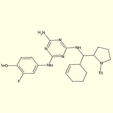 CCN1CCCC1C(Nc1nc(N)nc(Nc2ccc(OC)c(F)c2)n1)C1C=CCCC1